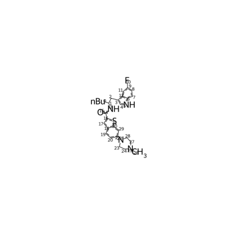 CCCCC(Cc1c[nH]c2ccc(F)cc12)NC(=O)c1cc2ccc(N3CCN(C)CC3)cc2s1